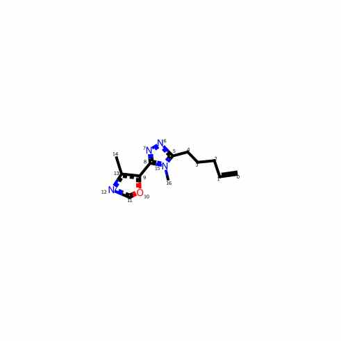 C=CCCCc1nnc(-c2ocnc2C)n1C